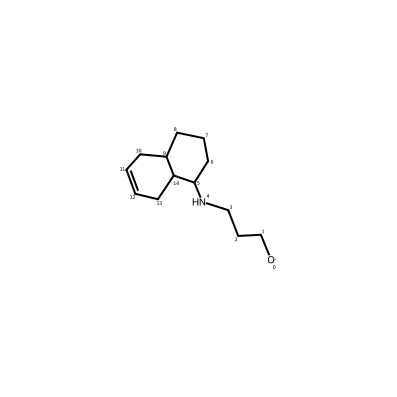 [O]CCCNC1CCCC2CC=CCC21